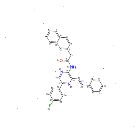 O=C(Cc1ccc2ccccc2c1)Nc1ncc(-c2ccc(F)cc2)nc1/C=C/c1ccccc1